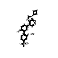 COc1cc(S(C)(=O)=O)ccc1-c1cc(-c2cnnc3c2ncn3C2CCC2)ccc1F